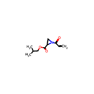 C=CC(=O)N1CC1C(=O)OCC(C)C